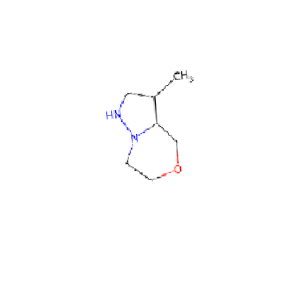 CC1CNN2CCOCC12